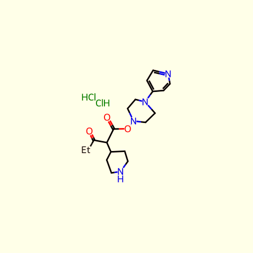 CCC(=O)C(C(=O)ON1CCN(c2ccncc2)CC1)C1CCNCC1.Cl.Cl